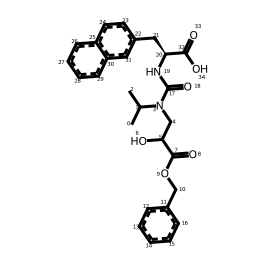 CC(C)N(CC(O)C(=O)OCc1ccccc1)C(=O)N[C@@H](Cc1ccc2ccccc2c1)C(=O)O